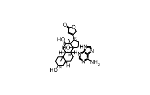 C[C@]12CC[C@H](O)C[C@H]1CC[C@@H]1[C@@H]2C[C@@H](O)[C@]2(C)[C@@H](C3=CC(=O)OC3)CC[C@]12O.Nc1ncnc2[nH]cnc12